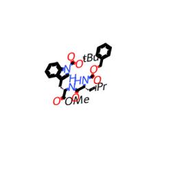 COC(=O)[C@H](Cc1cn(C(=O)OC(C)(C)C)c2ccccc12)NC(=O)[C@@H](CC(C)C)NC(=O)OCc1ccccc1